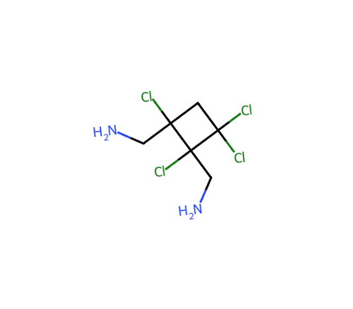 NCC1(Cl)CC(Cl)(Cl)C1(Cl)CN